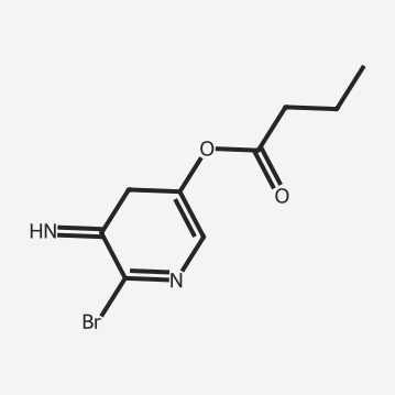 CCCC(=O)OC1=CN=C(Br)C(=N)C1